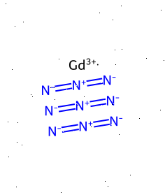 [Gd+3].[N-]=[N+]=[N-].[N-]=[N+]=[N-].[N-]=[N+]=[N-]